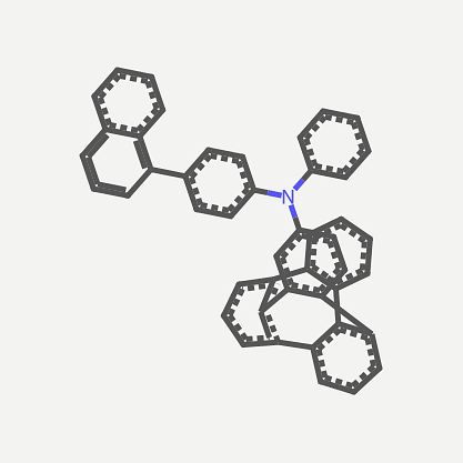 C1=C=c2ccccc2=C(c2ccc(N(c3ccccc3)c3ccc4c(c3)-c3c5cccc3-c3cccc-4c3-c3ccccc3-5)cc2)C=1